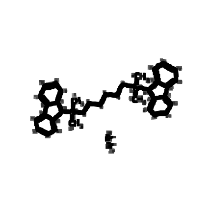 C[N+](C)(CCCCCC[N+](C)(C)C1c2ccccc2-c2ccccc21)C1c2ccccc2-c2ccccc21.[Br-].[Br-]